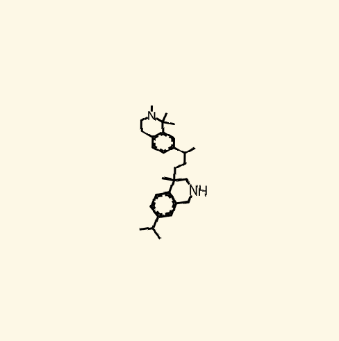 CC(C)c1ccc2c(c1)CNCC2(C)CCC(C)c1ccc2c(c1)C(C)(C)N(C)CC2